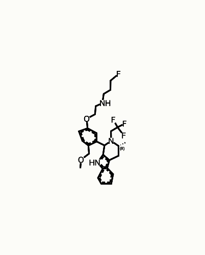 COCc1ccc(OCCNCCCF)cc1C1c2[nH]c3ccccc3c2C[C@@H](C)N1CC(F)(F)F